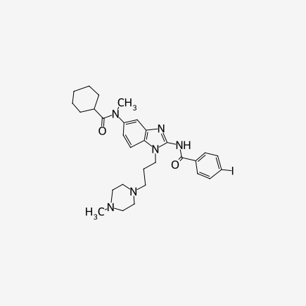 CN1CCN(CCCn2c(NC(=O)c3ccc(I)cc3)nc3cc(N(C)C(=O)C4CCCCC4)ccc32)CC1